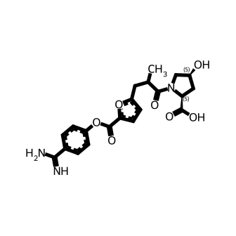 CC(Cc1ccc(C(=O)Oc2ccc(C(=N)N)cc2)o1)C(=O)N1C[C@@H](O)C[C@H]1C(=O)O